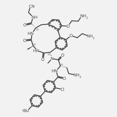 C[C@@H]1NC(=O)[C@@H](N(C)C(=O)[C@H](CCN)NC(=O)c2ccc(-c3ccc(C(C)(C)C)cc3)cc2Cl)c2ccc(OCCN)c(c2)-c2cc(ccc2OCCN)C[C@@H](C(=O)NCC#N)NC1=O